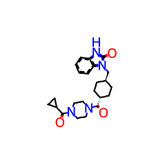 O=C(C1CC1)N1CCN(C(=O)[C@H]2CC[C@H](Cn3c(=O)[nH]c4ccccc43)CC2)CC1